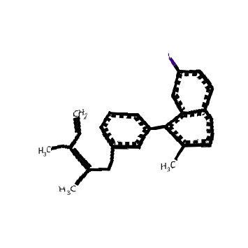 C=CC(C)=C(C)Cc1cccc(-c2c(C)ccc3ccc(I)cc23)c1